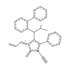 C#Cn1c(-c2ccccc2)c(C(c2ccccc2-c2ccccc2)C(C)C)/c(=C/C=C)c1=C